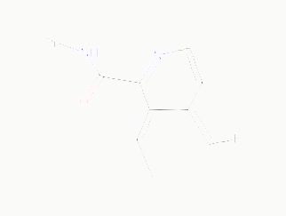 C/C=c1/c(C(=O)NCCC)nccc1=CCC